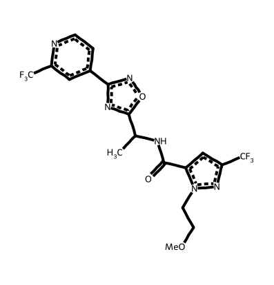 COCCn1nc(C(F)(F)F)cc1C(=O)NC(C)c1nc(-c2ccnc(C(F)(F)F)c2)no1